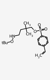 C=Cc1ccc(S(=O)(=O)OCC(C)(C)CCNOC(C)(C)C)cc1